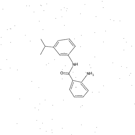 CC(C)c1cccc(NC(=O)c2ccccc2N)c1